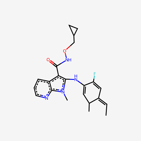 C/C=C1/C=C(F)C(Nc2c(C(=O)NOCC3CC3)c3cccnc3n2C)=CC1C